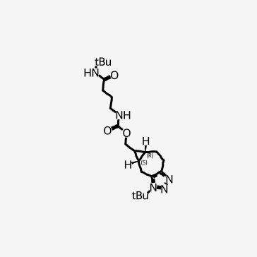 CC(C)(C)NC(=O)CCCNC(=O)OCC1[C@H]2Cc3c(nnn3C(C)(C)C)CC[C@@H]12